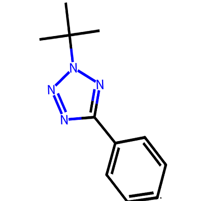 CC(C)(C)n1nnc(-c2cc[c]cc2)n1